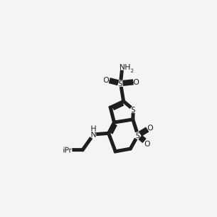 CC(C)CNC1=C2C=C(S(N)(=O)=O)SC2S(=O)(=O)CC1